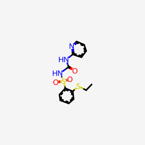 CCSc1ccccc1S(=O)(=O)NC(=O)Nc1ccccn1